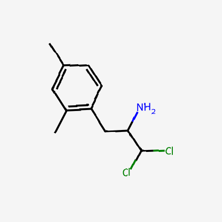 Cc1ccc(CC(N)C(Cl)Cl)c(C)c1